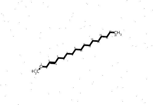 [CH2]OCC=CCCCCCCCCCCCCCC